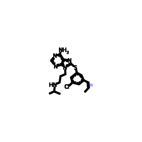 C/C=C\c1cc(Cl)cc(Sc2nc3c(N)ncnc3n2CCCNC(C)C)c1